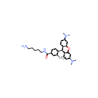 CN(C)c1ccc2c(-c3ccc(C(=O)NCCCCCN)cc3C(=O)O)c3ccc(=[N+](C)C)cc-3oc2c1